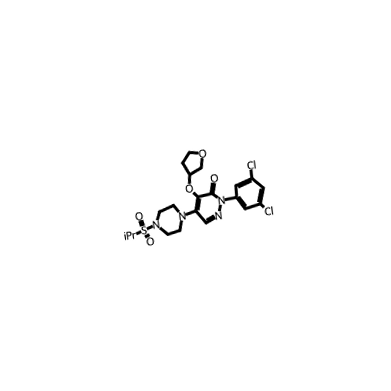 CC(C)S(=O)(=O)N1CCN(c2cnn(-c3cc(Cl)cc(Cl)c3)c(=O)c2OC2CCOC2)CC1